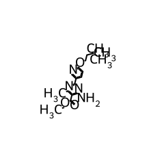 CCOC(=O)c1c(C)nc(-c2ccc(OCCC(C)(C)C)nc2)nc1N